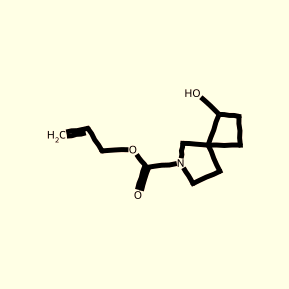 C=CCOC(=O)N1CCC2(CCC2O)C1